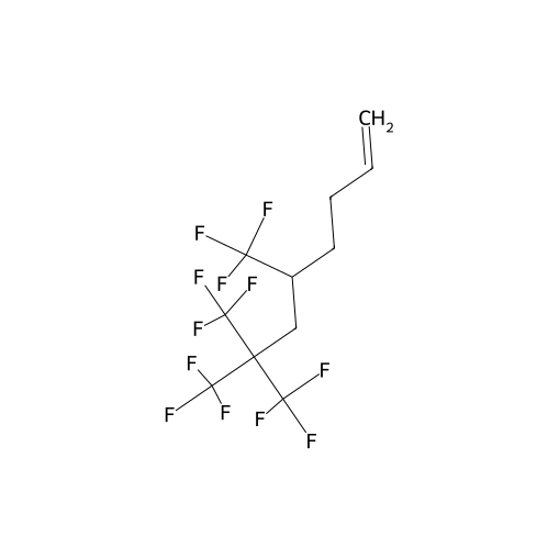 C=CCCC(CC(C(F)(F)F)(C(F)(F)F)C(F)(F)F)C(F)(F)F